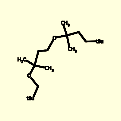 CC(C)(C)CCC(C)(C)OCCC(C)(C)OCC(C)(C)C